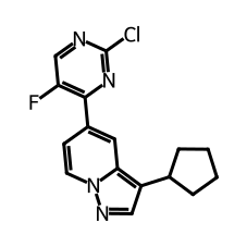 Fc1cnc(Cl)nc1-c1ccn2ncc(C3CCCC3)c2c1